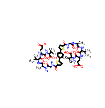 CC(C)[C@H](NC(=O)[C@H](CCC(=O)O)NC(=O)[C@@H](NC(=O)[C@H](C)NC(=O)CNC(=O)c1ccc(-c2ccc(-c3ccc(C(=O)NCC(=O)N[C@@H](C)C(=O)N[C@H](C(=O)N[C@@H](CCC(=O)O)C(=O)N[C@H](C(=O)O)C(C)C)C(C)C)s3)cc2)s1)C(C)C)C(=O)O